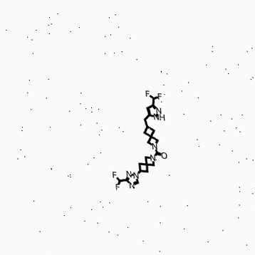 O=C(N1CC2(CC(Cc3cc(C(F)F)n[nH]3)C2)C1)N1CC2(CC(n3cnc(C(F)F)n3)C2)C1